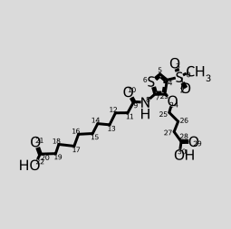 CS(=O)(=O)c1csc(NC(=O)CCCCCCCCCC(=O)O)c1OCCCC(=O)O